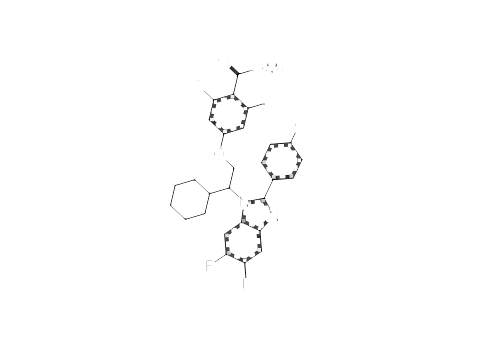 COC(=O)c1c(F)cc(OCC(C2CCCCC2)n2c(-c3ccc(Cl)cc3)nc3cc(F)c(F)cc32)cc1F